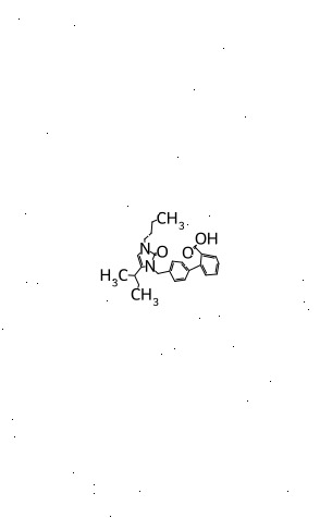 CCCCn1cc(C(C)CC)n(Cc2ccc(-c3ccccc3C(=O)O)cc2)c1=O